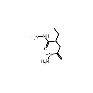 C=C(CC(CC)C(=O)NN)NN